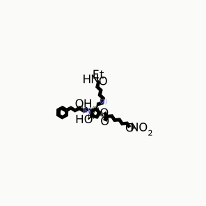 CCNC(=O)CCC/C=C\C[C@@H]1[C@@H](/C=C/[C@@H](O)CCC2=CC=CCC2)[C@H](O)C[C@@H]1OC(=O)CCCCCO[N+](=O)[O-]